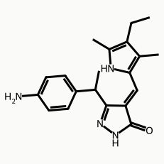 CCc1c(C)[nH]c(/C=C2/C(=O)NN=C2C(C)c2ccc(N)cc2)c1C